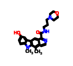 Cc1c2ccnc(C(=O)NCCCN3CCOCC3)c2cc2c3cc(O)ccc3n(C)c12